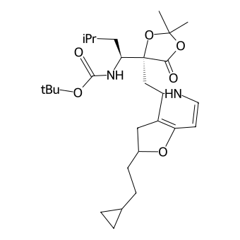 CC(C)C[C@H](NC(=O)OC(C)(C)C)[C@@]1(CC2NC=CC3=C2CC(CCC2CC2)O3)OC(C)(C)OC1=O